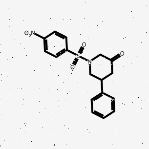 O=C1CC(c2ccccc2)CN(S(=O)(=O)c2ccc([N+](=O)[O-])cc2)C1